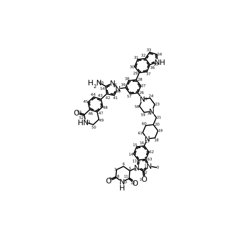 Cn1c(=O)n(C2CCC(=O)NC2=O)c2ccc(N3CCC(CN4CCN(c5cc(-c6ccc7cc[nH]c7c6)cc(-n6cc(-c7ccc8c(c7)CCNC8=O)c(N)n6)c5)CC4)CC3)cc21